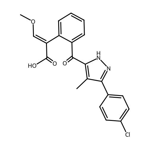 CO/C=C(/C(=O)O)c1ccccc1C(=O)c1[nH]nc(-c2ccc(Cl)cc2)c1C